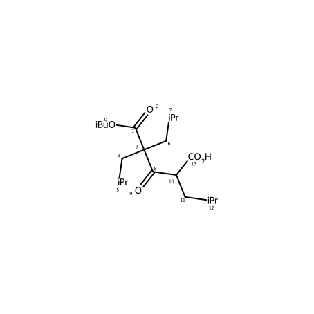 CC(C)COC(=O)C(CC(C)C)(CC(C)C)C(=O)C(CC(C)C)C(=O)O